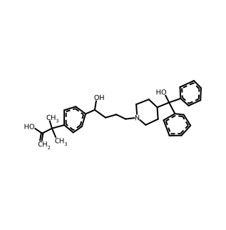 C=C(O)C(C)(C)c1ccc(C(O)CCCN2CCC(C(O)(c3ccccc3)c3ccccc3)CC2)cc1